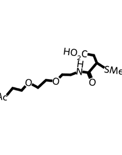 CSC(CC(=O)O)C(=O)NCCOCCOCCC(C)=O